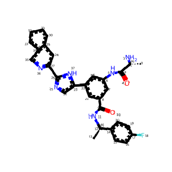 C[C@@H](N)C(=O)Nc1cc(C(=O)N[C@H](C)c2ccc(F)cc2)cc(-c2cnc(-c3cc4ccccc4cn3)[nH]2)c1